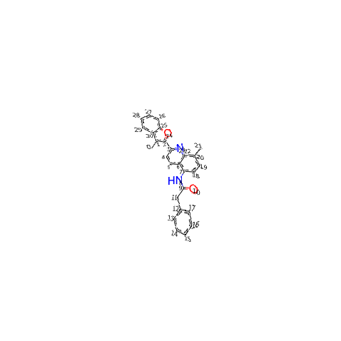 Cc1c(-c2ccc3c(NC(=O)Cc4ccccc4)ccc(C)c3n2)oc2ccccc12